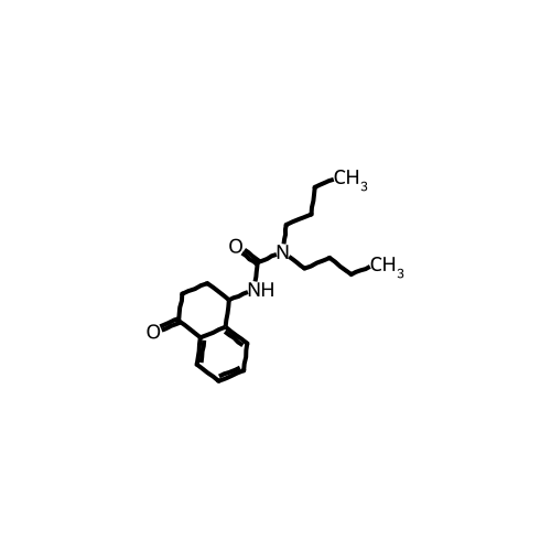 CCCCN(CCCC)C(=O)NC1CCC(=O)c2ccccc21